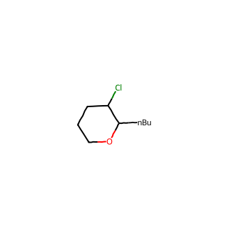 CCCCC1OCCCC1Cl